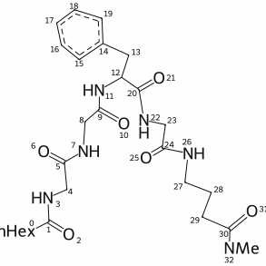 CCCCCCC(=O)NCC(=O)NCC(=O)NC(Cc1ccccc1)C(=O)NCC(=O)NCCCC(=O)NC